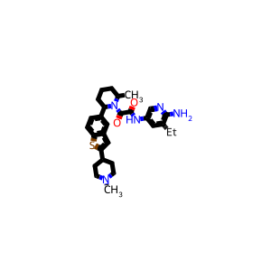 CCc1cc(NC(=O)C(=O)N2C(C)CCCC2c2ccc3sc(C4CCN(C)CC4)cc3c2)cnc1N